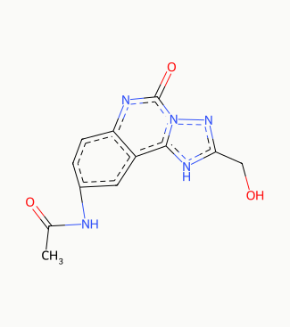 CC(=O)Nc1ccc2nc(=O)n3nc(CO)[nH]c3c2c1